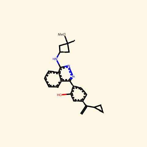 C=C(c1ccc(-c2nnc(NC3CC(C)(OC)C3)c3ccccc23)c(O)c1)C1CC1